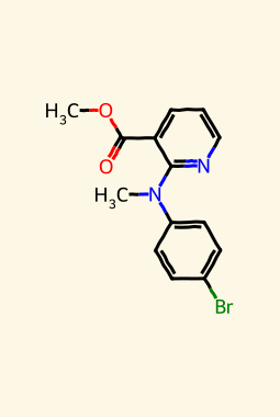 COC(=O)c1cccnc1N(C)c1ccc(Br)cc1